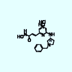 Cl.Cl.O=C(C=Cc1cncc(N[C@@H]2CCN(Cc3ccccc3)C2)n1)NO